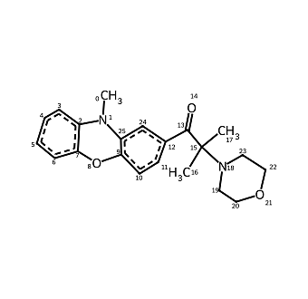 CN1c2ccccc2Oc2ccc(C(=O)C(C)(C)N3CCOCC3)cc21